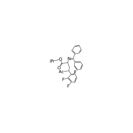 CC(=O)C(CC(N=C(c1ccccc1)c1ccccc1)C(=O)OC(C)C)c1c(F)ccc(F)c1F